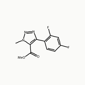 COC(=O)c1c(-c2ccc(F)cc2F)nnn1C